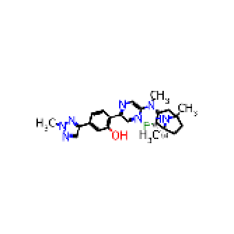 CN(c1cnc(-c2ccc(-c3cnn(C)n3)cc2O)cn1)[C@@H]1C[C@@]2(C)CC[C@](C)(N2)[C@@H]1F